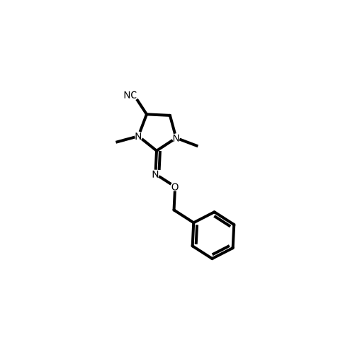 CN1CC(C#N)N(C)C1=NOCc1ccccc1